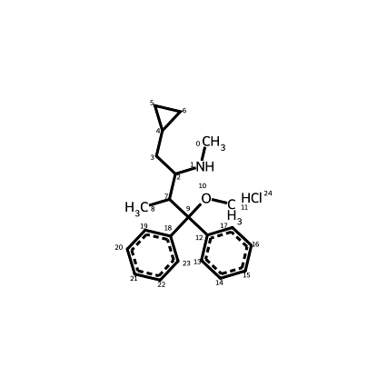 CNC(CC1CC1)C(C)C(OC)(c1ccccc1)c1ccccc1.Cl